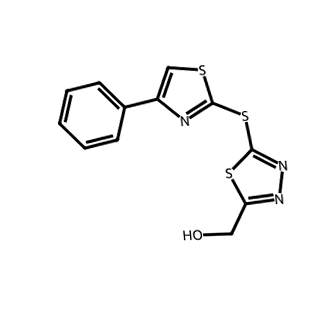 OCc1nnc(Sc2nc(-c3ccccc3)cs2)s1